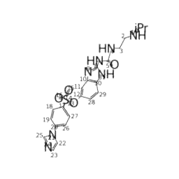 CC(C)NCCNC(=O)Nc1nc2cc(OS(=O)(=O)c3ccc(-n4ccnc4)cc3)ccc2[nH]1